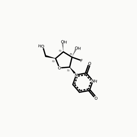 O=c1ccn([C@H]2O[C@@H](CO)[C@H](O)[C@@]2(O)F)c(=O)[nH]1